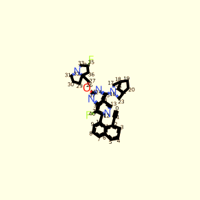 C#Cc1cccc2cccc(-c3ncc4c(N5CC6CCC(C6)C5)nc(OCC56CCCN5C[C@@H](F)C6)nc4c3F)c12